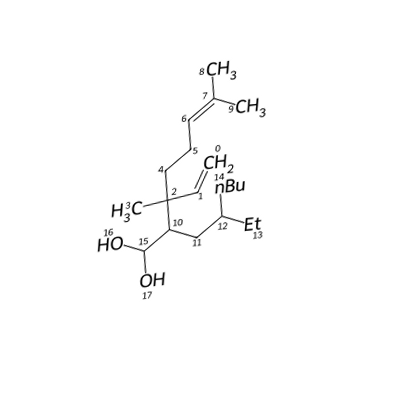 C=CC(C)(CCC=C(C)C)C(CC(CC)CCCC)C(O)O